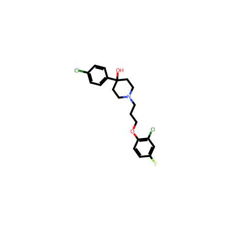 OC1(c2ccc(Cl)cc2)CCN(CCCOc2ccc(F)cc2Cl)CC1